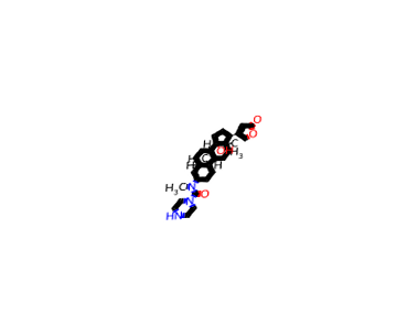 CN(C(=O)N1CCNCC1)C1CC[C@@]2(C)[C@H](CC[C@@H]3[C@@H]2CC[C@]2(C)[C@@H](C4=CC(=O)OC4)CC[C@]32O)C1